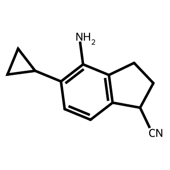 N#CC1CCc2c1ccc(C1CC1)c2N